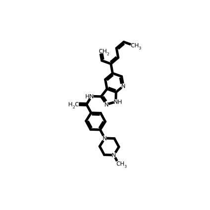 C=C/C(=C\C=C/C)c1cnc2[nH]nc(NC(=C)c3ccc(N4CCN(C)CC4)cc3)c2c1